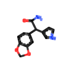 NC(=O)[C](c1cc[nH]c1)c1ccc2c(c1)OCO2